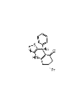 CC[C@@]1(c2ccccc2)C2=C(C[C@@H](C(C)C)CC2=O)Nc2ncsc21